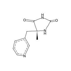 C[C@]1(Cc2cccnc2)NC(=O)NC1=O